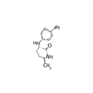 C=C1CCC(Nc2ccc(C(C)C)cc2)C(=O)N1